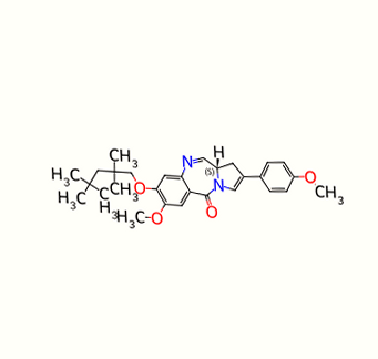 COc1ccc(C2=CN3C(=O)c4cc(OC)c(OCC(C)(C)CC(C)(C)C)cc4N=C[C@@H]3C2)cc1